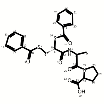 CC(NC(=O)[C@H](CSC(=O)c1ccccc1)SC(=O)c1ccccc1)C(=O)N1CCCC1C(=O)O